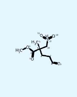 COC(=O)[C@@](C)(CCC=O)C[SH](=O)=O